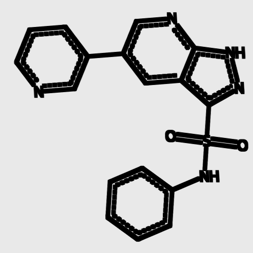 O=S(=O)(Nc1ccccc1)c1n[nH]c2ncc(-c3cccnc3)cc12